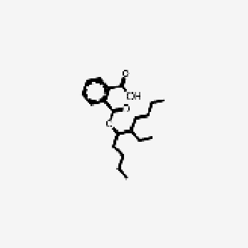 CCCCC(CC)C(CCCC)OC(=O)c1ccccc1C(=O)O